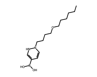 CCCCCCOCCCCN1C=CC(B(O)O)=CN1